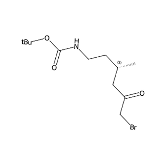 C[C@@H](CCNC(=O)OC(C)(C)C)CC(=O)CBr